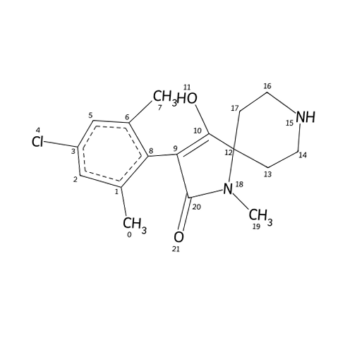 Cc1cc(Cl)cc(C)c1C1=C(O)C2(CCNCC2)N(C)C1=O